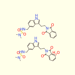 CN(C)S(=O)(=O)NCc1ccc2[nH]cc(CCN3C(=O)c4ccccc4C3=O)c2c1.CN(C)S(=O)(=O)NCc1ccc2[nH]cc(CCN3C(=O)c4ccccc4C3=O)c2c1.O